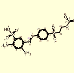 Nc1cc(N)c(S(=O)(=O)O)cc1/N=N/c1ccc(S(=O)(=O)CCO[SH](=O)=O)cc1